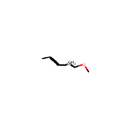 CC=C[SiH2]COC